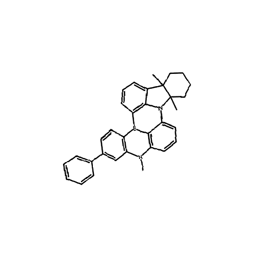 CN1c2cc(-c3ccccc3)ccc2B2c3cccc4c3N(c3cccc1c32)C1(C)CCCCC41C